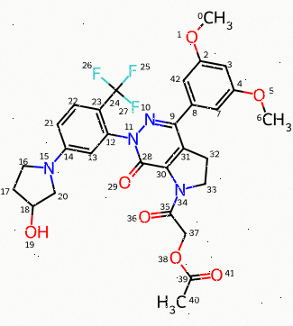 COc1cc(OC)cc(-c2nn(-c3cc(N4CCC(O)C4)ccc3C(F)(F)F)c(=O)c3c2CCN3C(=O)COC(C)=O)c1